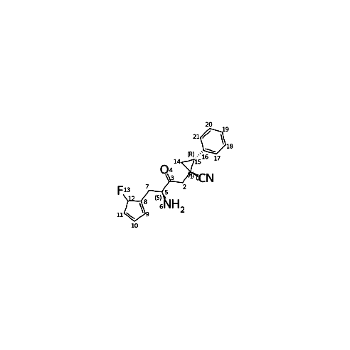 N#C[C@@]1(CC(=O)[C@@H](N)CC2=CC=CC2F)C[C@@H]1c1ccccc1